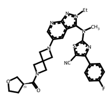 CCn1nc2ncc(N3CC4(CN(C(=O)[C@H]5CCOC5)C4)C3)cc2c1N(C)c1nc(-c2ccc(F)cc2)c(C#N)s1